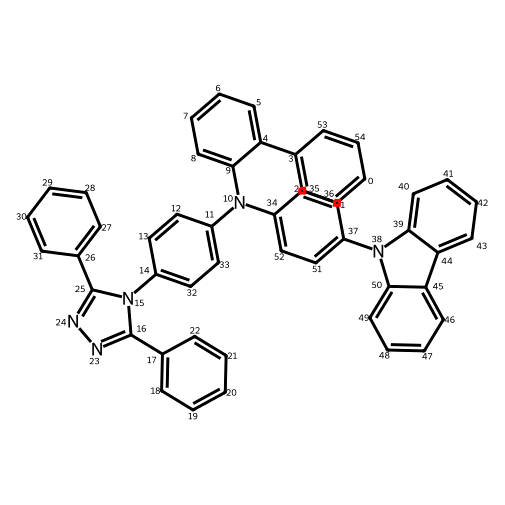 c1ccc(-c2ccccc2N(c2ccc(-n3c(-c4ccccc4)nnc3-c3ccccc3)cc2)c2ccc(-n3c4ccccc4c4ccccc43)cc2)cc1